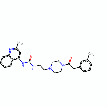 Cc1cccc(CC(=O)N2CCN(CCNC(=O)Nc3cc(C)nc4ccccc34)CC2)c1